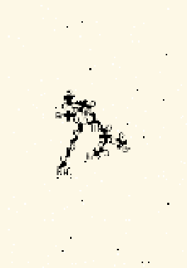 CC(C)(Br)C(=O)OCC(C)(COC(=O)C(C)(C)Br)C(=O)NCC(CNC(=O)C(C)(COC(=O)C(C)(C)Br)COC(=O)C(C)(C)Br)COCCOCCOCCOCCN